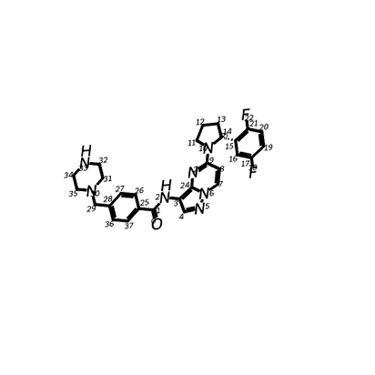 O=C(Nc1cnn2ccc(N3CCC[C@@H]3c3cc(F)ccc3F)nc12)c1ccc(CN2CCNCC2)cc1